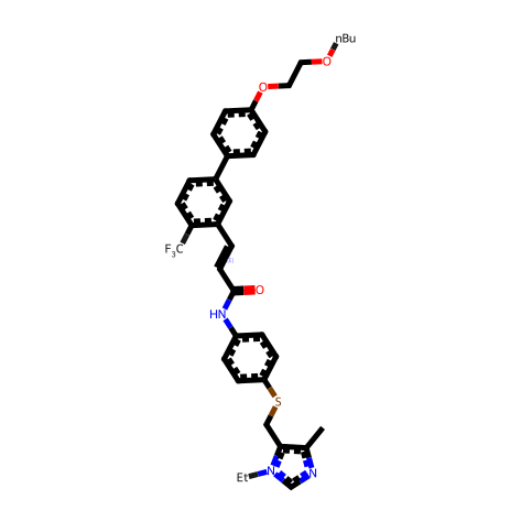 CCCCOCCOc1ccc(-c2ccc(C(F)(F)F)c(/C=C/C(=O)Nc3ccc(SCc4c(C)ncn4CC)cc3)c2)cc1